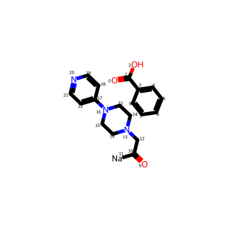 O=C(O)c1ccccc1.O=[C]([Na])CN1CCN(c2ccncc2)CC1